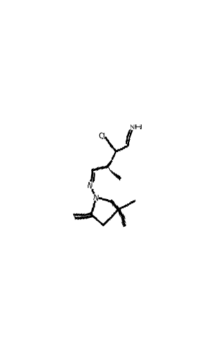 C=C1CC(C)(C)CN1/N=C\[C@H](C)C(Cl)C=N